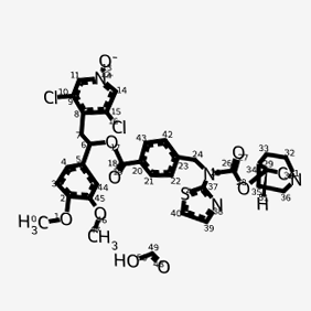 COc1ccc(C(Cc2c(Cl)c[n+]([O-])cc2Cl)OC(=O)c2ccc(CN(C(=O)O[C@H]3CN4CCC3CC4)c3nccs3)cc2)cc1OC.O=CO